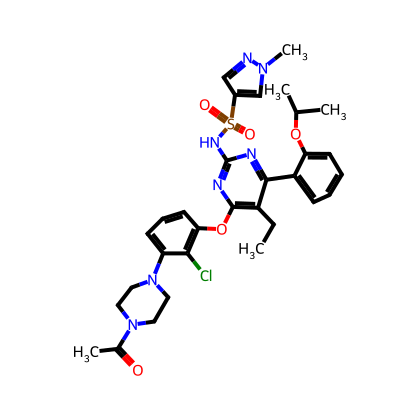 CCc1c(Oc2cccc(N3CCN(C(C)=O)CC3)c2Cl)nc(NS(=O)(=O)c2cnn(C)c2)nc1-c1ccccc1OC(C)C